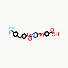 O=C(O)c1ccc(OCC2CCN(C(=O)Oc3ccc(Cc4ccc(C(F)(F)F)cc4)cc3)CC2)cc1